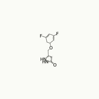 O=c1cc(COC2C=C(F)C=C(F)C2)[nH][nH]1